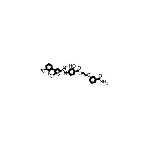 COc1cccc(-c2cc([S+]([O-])Nc3ccc(C(=O)OCCOc4cccc(C(N)=O)c4)c(O)c3)sc2Cl)c1F